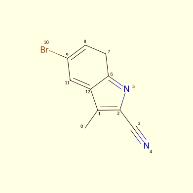 CC1=C(C#N)N=C2CC=C(Br)C=C21